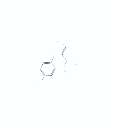 CCOC(OCC)/C(=C/C(=O)O)Oc1ccc(C(F)(F)F)cc1